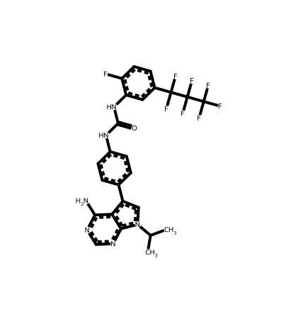 CC(C)n1cc(-c2ccc(NC(=O)Nc3cc(C(F)(F)C(F)(F)C(F)(F)F)ccc3F)cc2)c2c(N)ncnc21